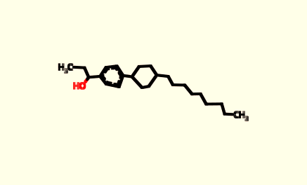 CCCCCCCCCC1CCC(c2ccc(C(O)CC)cc2)CC1